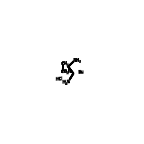 CC(=O)O.Cl.NCCN.[Ru]